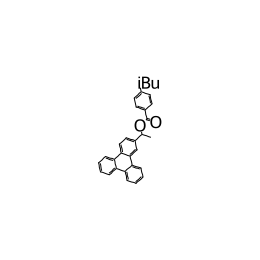 CCC(C)c1ccc(C(=O)OC(C)c2ccc3c4ccccc4c4ccccc4c3c2)cc1